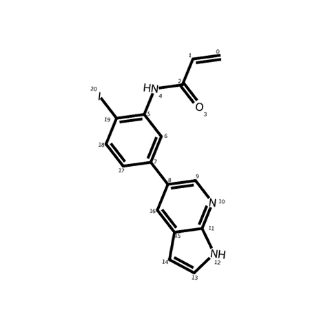 C=CC(=O)Nc1cc(-c2cnc3[nH]ccc3c2)ccc1I